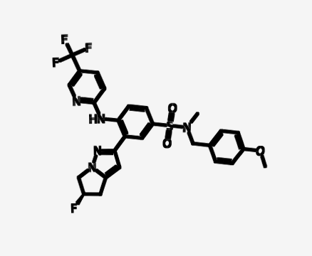 COc1ccc(CN(C)S(=O)(=O)c2ccc(Nc3ccc(C(F)(F)F)cn3)c(-c3cc4n(n3)C[C@H](F)C4)c2)cc1